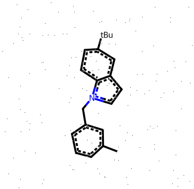 Cc1cccc(Cn2ccc3cc(C(C)(C)C)ccc32)c1